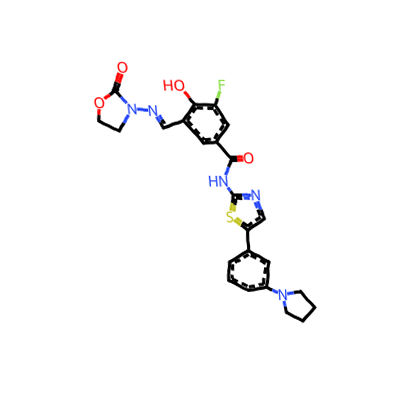 O=C(Nc1ncc(-c2cccc(N3CCCC3)c2)s1)c1cc(F)c(O)c(/C=N/N2CCOC2=O)c1